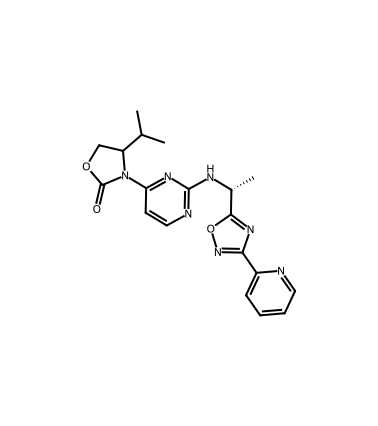 CC(C)C1COC(=O)N1c1ccnc(N[C@H](C)c2nc(-c3ccccn3)no2)n1